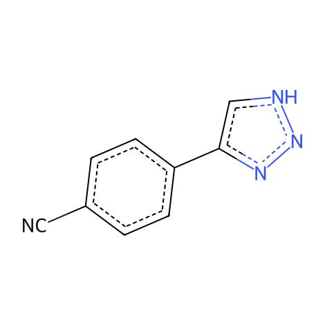 N#Cc1ccc(-c2c[nH]nn2)cc1